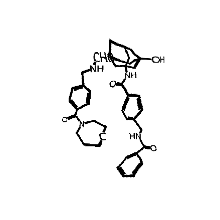 O=C(NCc1ccc(C(=O)NC23CC4CC(CC(O)(C4)C2)C3)cc1)c1ccccc1.O=CNCc1ccc(C(=O)N2CCCCCC2)cc1